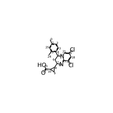 Cc1ccc(C2CC(C3CC3C(=O)O)N=C3C(Cl)=CC(Cl)=CN32)c(C)c1